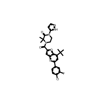 CC(C)(C)c1cc(-c2ccc(Cl)c(F)c2)nc2cc(C(=O)N3CCN(c4ccn[nH]4)C(=O)C3(C)C)oc12